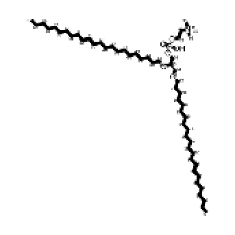 CCCCCCCCCCCCCCCCCCCCCCCOC[C@H](COP(=O)(O)OCC[N+](C)(C)C)OCCCCCCCCCCCCCCCCCCCCCCC